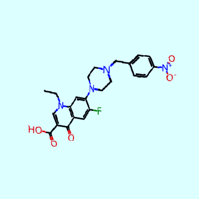 CCn1cc(C(=O)O)c(=O)c2cc(F)c(N3CCN(Cc4ccc([N+](=O)[O-])cc4)CC3)cc21